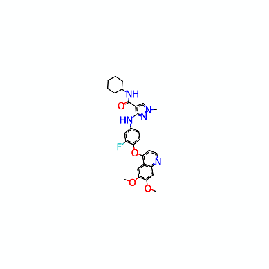 COc1cc2nccc(Oc3ccc(Nc4nn(C)cc4C(=O)NC4CCCCC4)cc3F)c2cc1OC